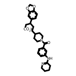 O=C(O)CC(CCC1CCN(C(=O)c2cccc(NC3=NCCCC3)c2)CC1)c1ccc2c(c1)OCO2